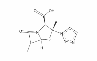 CC1C(=O)N2[C@@H](C(=O)O)[C@](C)(n3ccnn3)S[C@@H]12